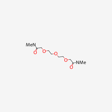 CNC(=O)COCCOCCOCC(=O)NC